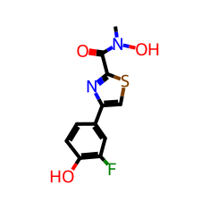 CN(O)C(=O)c1nc(-c2ccc(O)c(F)c2)cs1